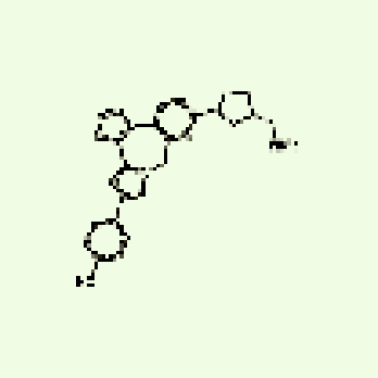 CNCC1CCN(c2ccc3c(n2)Cn2cc(-c4ccc(C#N)cc4)cc2-c2nccn2-3)C1